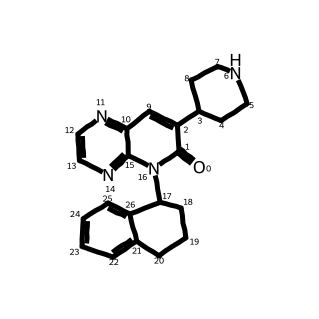 O=c1c(C2CCNCC2)cc2nccnc2n1C1CCCc2ccccc21